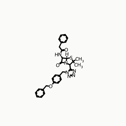 CC1(C)S[C@H]2C(NC(=O)Cc3ccccc3)C(=O)N2C1c1nnnn1Cc1ccc(OCc2ccccc2)cc1